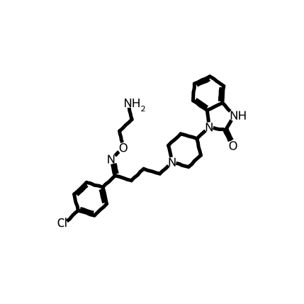 NCCON=C(CCCN1CCC(n2c(=O)[nH]c3ccccc32)CC1)c1ccc(Cl)cc1